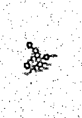 COc1ccc(O[C@@H]2OC3COC(c4ccccc4)O[C@@H]3[C@H](OC(=O)Oc3ccccc3)C2O[C@@H]2OC(COC(C)=O)[C@@H](OC(C)=O)C(OC(C)=O)C2NC(=O)OCC(Cl)(Cl)Cl)cc1